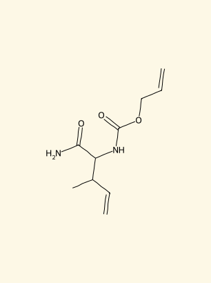 C=CCOC(=O)NC(C(N)=O)C(C)C=C